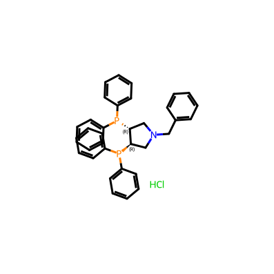 Cl.c1ccc(CN2C[C@@H](P(c3ccccc3)c3ccccc3)[C@H](P(c3ccccc3)c3ccccc3)C2)cc1